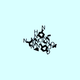 CC[C@H]1CN(C(=O)OC(C)(C)C)CCN1c1cc(C#N)cc(Nc2nc(N(Cc3ccc(OC)cc3)C3CC3)n3ncc(C#N)c3n2)c1Cl